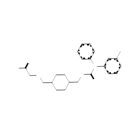 Cc1cccc(N(C(=O)NCC2CCC(COCC(=O)O)CC2)c2ccccc2)c1